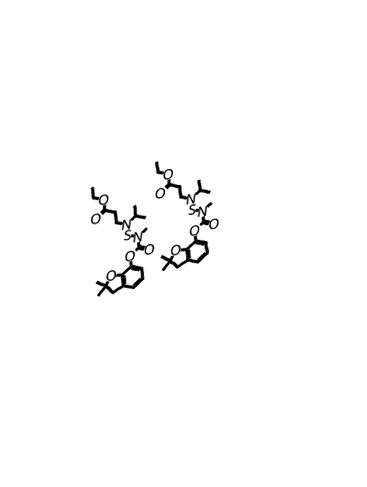 CCOC(=O)CCN(SN(C)C(=O)Oc1cccc2c1OC(C)(C)C2)C(C)C.CCOC(=O)CCN(SN(C)C(=O)Oc1cccc2c1OC(C)(C)C2)C(C)C